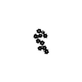 c1ccc(-c2nnc(-c3ccccc3)n2-c2ccc3c(c2)c2ccccc2n3-c2cccc(-c3cccc(-n4c5ccccc5c5c6sc7ccccc7c6ccc54)c3)c2)cc1